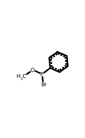 COP(Br)c1ccccc1